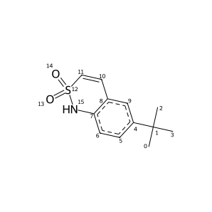 CC(C)(C)c1ccc2c(c1)C=CS(=O)(=O)N2